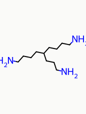 NCCCCC(CCCN)CCCCN